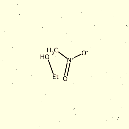 CCO.C[N+](=O)[O-]